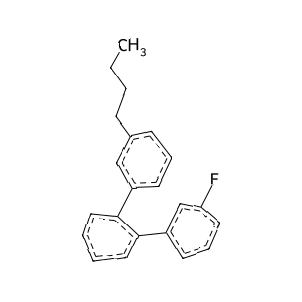 CCCCc1cccc(-c2ccccc2-c2cccc(F)c2)c1